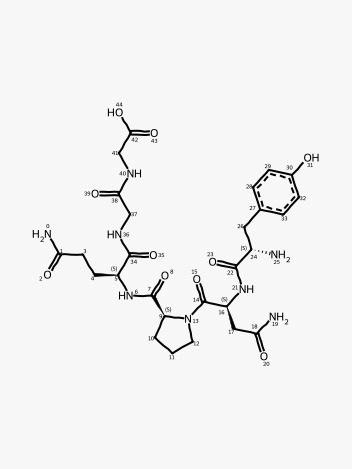 NC(=O)CC[C@H](NC(=O)[C@@H]1CCCN1C(=O)[C@H](CC(N)=O)NC(=O)[C@@H](N)Cc1ccc(O)cc1)C(=O)NCC(=O)NCC(=O)O